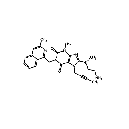 CC#CCn1c(N(C)CCN)nc2c1c(=O)n(Cc1nc(C)cc3ccccc13)c(=O)n2C